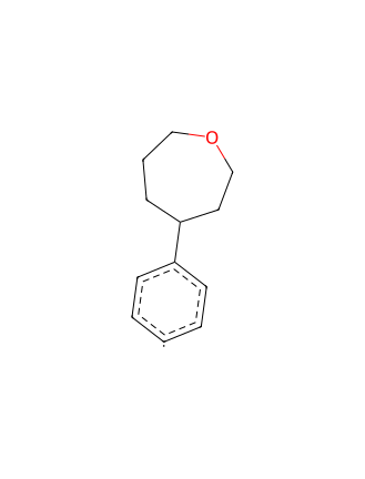 [c]1ccc(C2CCCOCC2)cc1